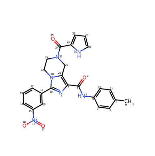 Cc1ccc(NC(=O)c2nc(-c3cccc([N+](=O)[O-])c3)n3c2CN(C(=O)c2ccc[nH]2)CC3)cc1